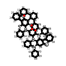 c1ccc(-c2cccc(-c3ccccc3)c2-c2c3c4c(c5c2oc2ccccc25)Sc2ccccc2B4c2cc4c(cc2O3)N(c2ccccc2)c2c3c(cc5oc6ccccc6c25)N(c2ccccc2)c2ccccc2B43)cc1